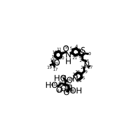 Cc1sc2ccc(NC(=O)c3cccc(OC(C)(C)C)c3)cc2c1CCN(C)CCc1ccncc1.O=C(O)CC(O)(CC(=O)O)C(=O)O